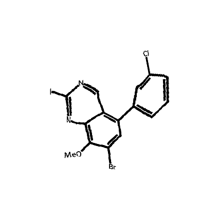 COc1c(Br)cc(-c2cccc(Cl)c2)c2cnc(I)nc12